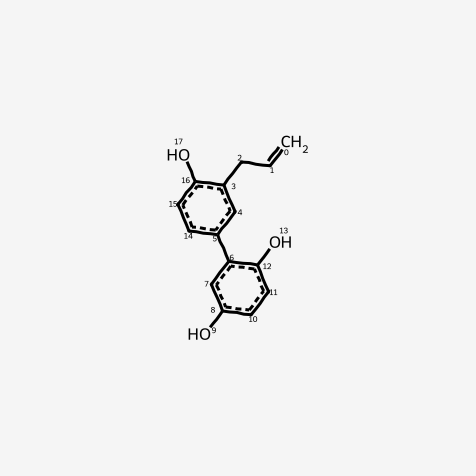 C=CCc1cc(-c2cc(O)ccc2O)ccc1O